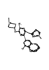 CN1CC(Oc2nc(-c3cc(Cl)c4ncccc4c3)c(-c3ccn(C)n3)nc2N)C1